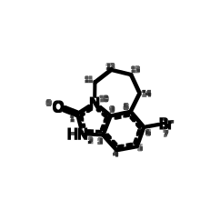 O=c1[nH]c2ccc(Br)c3c2n1CCCC3